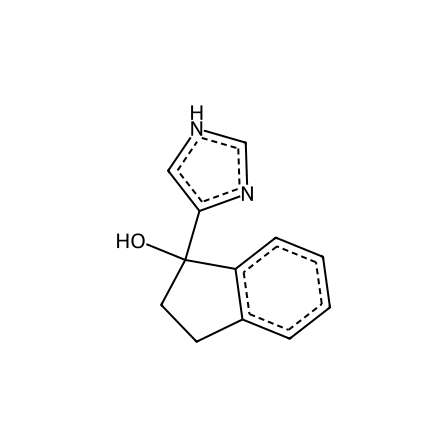 OC1(c2c[nH]cn2)CCc2ccccc21